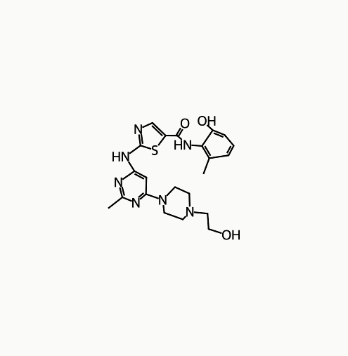 Cc1nc(Nc2ncc(C(=O)Nc3c(C)cccc3O)s2)cc(N2CCN(CCO)CC2)n1